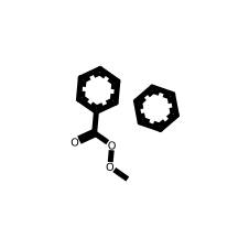 COOC(=O)c1ccccc1.c1ccccc1